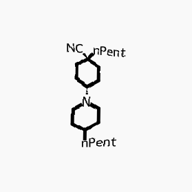 CCCCCC1CCN([C@H]2CC[C@@](C#N)(CCCCC)CC2)CC1